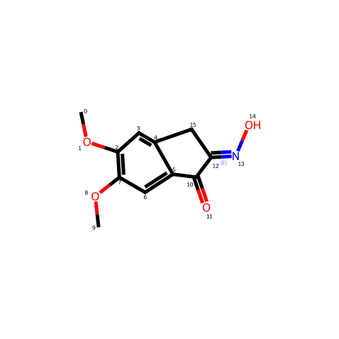 COc1cc2c(cc1OC)C(=O)/C(=N/O)C2